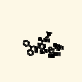 CCNC(=O)[C@H]1O[C@@H](n2cnc3c(NCC(c4ccccc4)c4ccccc4)nc(C(=O)NCCN(C)C)nc32)[C@@H](O)[C@@H]1O